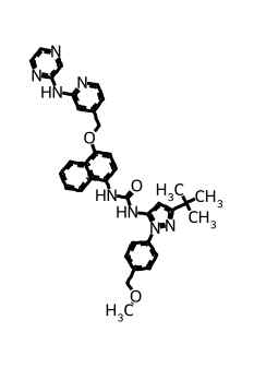 COCc1ccc(-n2nc(C(C)(C)C)cc2NC(=O)Nc2ccc(OCc3ccnc(Nc4cnccn4)c3)c3ccccc23)cc1